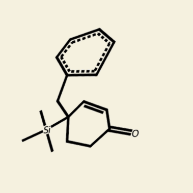 C[Si](C)(C)C1(Cc2ccccc2)C=CC(=O)CC1